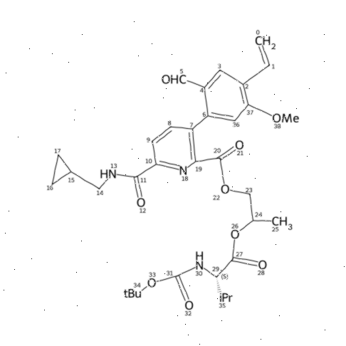 C=Cc1cc(C=O)c(-c2ccc(C(=O)NCC3CC3)nc2C(=O)OCC(C)OC(=O)[C@@H](NC(=O)OC(C)(C)C)C(C)C)cc1OC